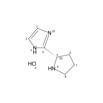 Cl.c1c[nH]c([C@@H]2CCCN2)n1